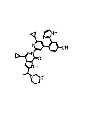 CC(c1cc2c(C3CC3)cn(-c3cc(-c4ccc(C#N)cc4-c4nccn4C)cc(C4CC4)n3)c(=O)c2[nH]1)N1CCC[C@H](C)C1